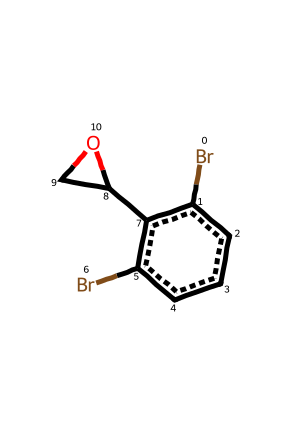 Brc1cccc(Br)c1C1CO1